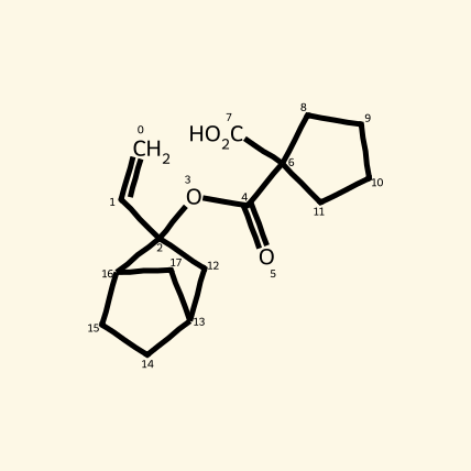 C=CC1(OC(=O)C2(C(=O)O)CCCC2)CC2CCC1C2